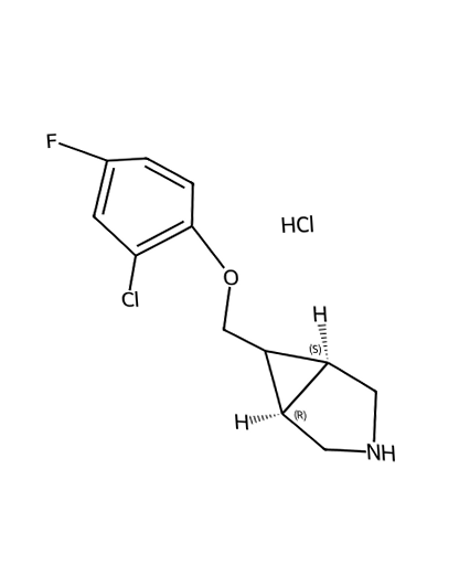 Cl.Fc1ccc(OCC2[C@H]3CNC[C@@H]23)c(Cl)c1